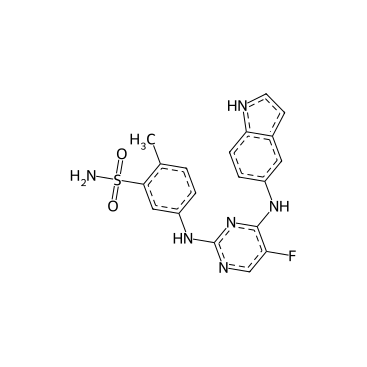 Cc1ccc(Nc2ncc(F)c(Nc3ccc4[nH]ccc4c3)n2)cc1S(N)(=O)=O